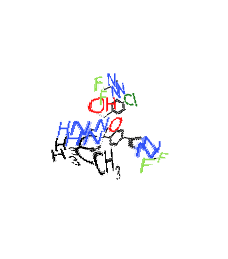 CC(C)(C)C[C@]1(c2ccc(-c3cnn(C(F)F)c3)cc2)NC(=N)N([C@H](CO)c2ccc(Cl)c(-n3ncnc3C(F)F)c2)C1=O